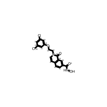 O=C(NO)c1ccc2ccn(CCOc3cc(Cl)cc(Cl)c3)c(=O)c2c1